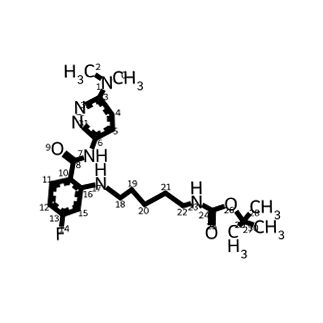 CN(C)c1ccc(NC(=O)c2ccc(F)cc2NCCCCCNC(=O)OC(C)(C)C)nn1